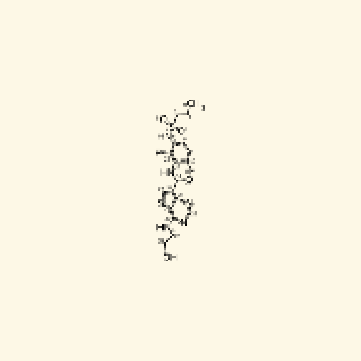 CCCS(=O)(=O)Nc1ccc(F)c(NC(=O)c2csc3c(NCCO)ncnc23)c1F